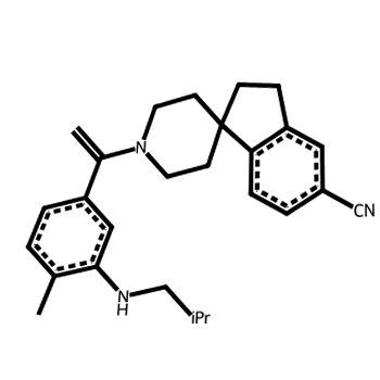 C=C(c1ccc(C)c(NCC(C)C)c1)N1CCC2(CCc3cc(C#N)ccc32)CC1